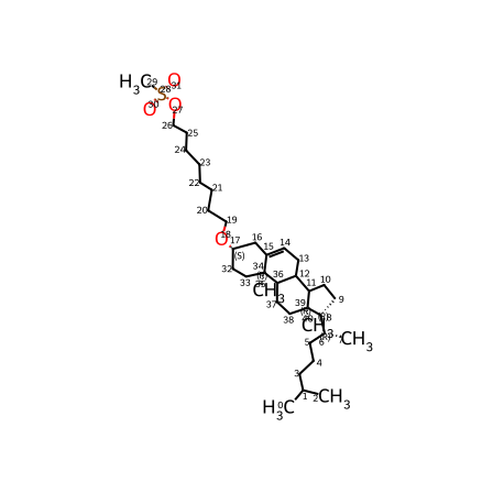 CC(C)CCC[C@@H](C)[C@H]1CCC2C3CC=C4C[C@@H](OCCCCCCCCOS(C)(=O)=O)CC[C@]4(C)C3CC[C@@]21C